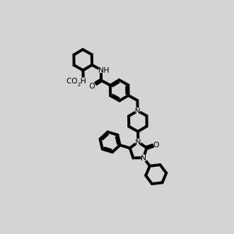 O=C(NC1CCCCC1C(=O)O)c1ccc(CN2CCC(N3C(=O)N(C4CCCCC4)CC3c3ccccc3)CC2)cc1